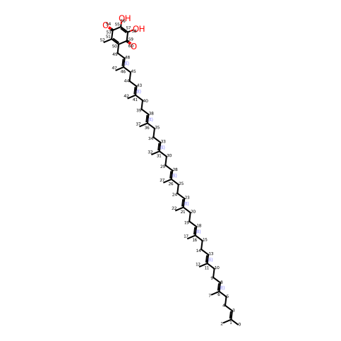 CC(C)=CCC/C(C)=C/CC/C(C)=C/CC/C(C)=C/CC/C(C)=C/CC/C(C)=C/CC/C(C)=C/CC/C(C)=C/CC/C(C)=C/CC/C(C)=C/CC1=C(C)C(=O)C(O)=C(O)C1=O